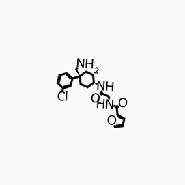 NC[C@]1(c2cccc(Cl)c2)CC[C@H](NC(=O)CNC(=O)c2ccco2)CC1